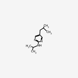 CC(C)Cc1cnc(NC(C)C)nc1